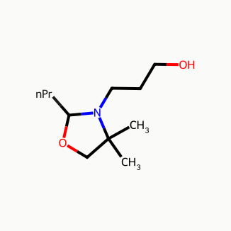 CCCC1OCC(C)(C)N1CCCO